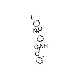 C=Cc1ccc2oc(-c3ccc(NC(=O)COc4ccccc4C)cc3)nc2c1